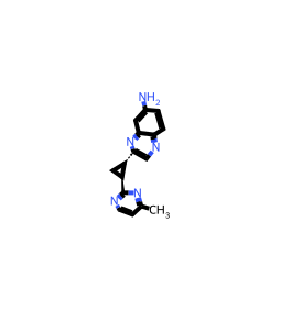 Cc1ccnc([C@H]2C[C@@H]2c2cnc3ccc(N)cc3n2)n1